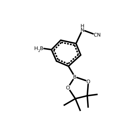 Bc1cc(NC#N)cc(B2OC(C)(C)C(C)(C)O2)c1